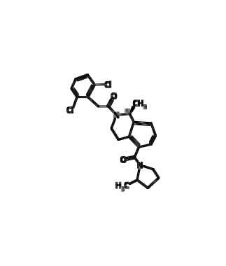 CC1CCCN1C(=O)c1cccc2c1CCN(C(=O)Cc1c(Cl)cccc1Cl)[C@H]2C